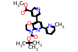 COC(=O)c1cncc(-c2cc(-c3cccc(C)n3)nc3c2OCCN3C(=O)OC(C)(C)C)c1